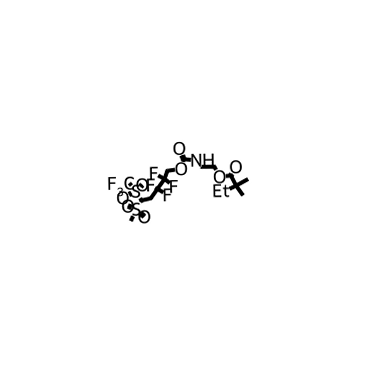 CCC(C)(C)C(=O)OCCNC(=O)OCC(F)(F)C(F)(F)CC(S(C)(=O)=O)S(=O)(=O)C(F)(F)F